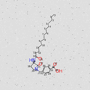 CCCCCCCCCCCCCCC(=O)N[C@@H]1CCN(Cc2ccc(C(=O)O)cc2)C1=O